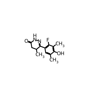 Cc1cc(C2=NNC(=O)CC2C)c(F)c(C)c1O